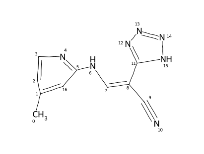 Cc1ccnc(NC=C(C#N)c2nnn[nH]2)c1